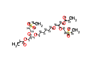 C=CC(=O)OCC(COCCCCCCOCC(COC(=O)C=C)OCCS(=O)(=O)C=C)OCCS(=O)(=O)C=C